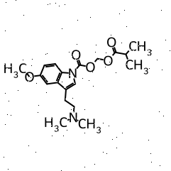 COc1ccc2c(c1)c(CCN(C)C)cn2C(=O)OCOC(=O)C(C)C